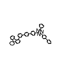 c1ccc(-c2ccc(-c3nc(-c4ccccc4)nc(-c4ccc(-c5ccc(-c6cccc(-c7cccc8c7-c7ccccc7C87CCCCC7)c6)cc5)cc4)n3)cc2)cc1